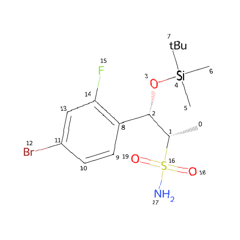 C[C@@H]([C@@H](O[Si](C)(C)C(C)(C)C)c1ccc(Br)cc1F)S(N)(=O)=O